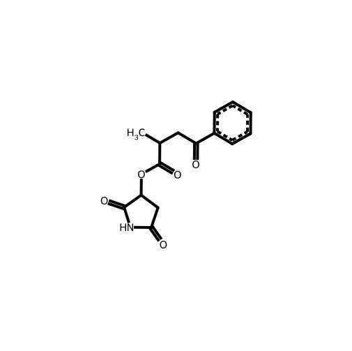 CC(CC(=O)c1ccccc1)C(=O)OC1CC(=O)NC1=O